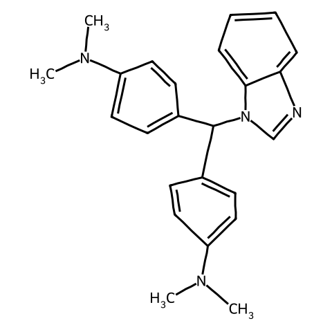 CN(C)c1ccc(C(c2ccc(N(C)C)cc2)n2cnc3ccccc32)cc1